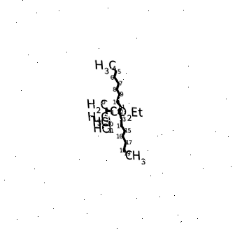 C=C(C)C(=O)OCC.CCCCCCCCCCCCCCCC.Cl.Cl